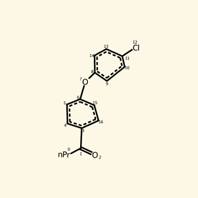 CCCC(=O)c1ccc(Oc2ccc(Cl)cc2)cc1